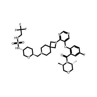 C[C@@H]1COC[C@@H](C)N1C(=O)c1cc(F)ccc1Oc1cncnc1N1CC2(CCN(C[C@@H]3CC[C@@H](NS(=O)(=O)NCC(F)(F)F)CO3)CC2)C1